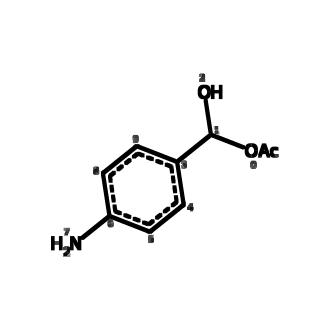 CC(=O)OC(O)c1ccc(N)cc1